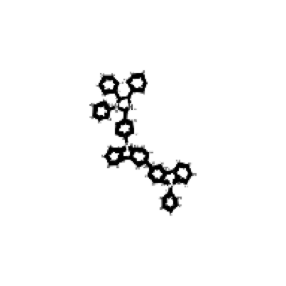 c1ccc(C2N=C(c3ccc(-n4c5ccccc5c5cc(-c6ccc7c(c6)c6ccccc6n7-c6ccccc6)ccc54)cc3)N(c3ccccc3)C2c2ccccc2)cc1